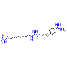 N=C(NCCCCCCCCNC1=NCCN1)NCCCOc1ccc(C(=N)N)cc1